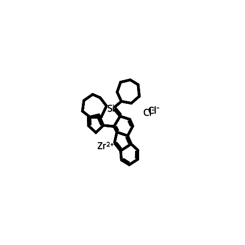 [Cl-].[Cl-].[Zr+2][C]1=c2ccccc2=c2ccc(=[Si](C3CCCCCC3)C3CCCCCC3)c(C3=CC=CC3)c21